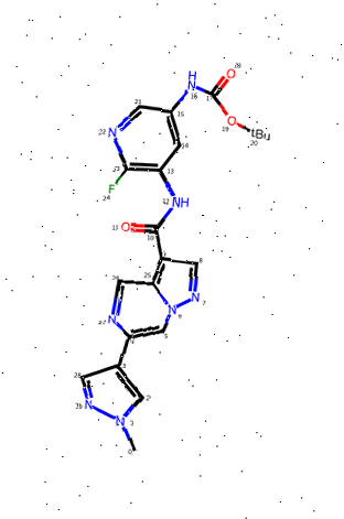 Cn1cc(-c2cn3ncc(C(=O)Nc4cc(NC(=O)OC(C)(C)C)cnc4F)c3cn2)cn1